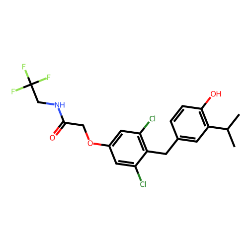 CC(C)c1cc(Cc2c(Cl)cc(OCC(=O)NCC(F)(F)F)cc2Cl)ccc1O